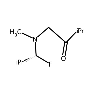 CC(C)C(=O)CN(C)[C@H](F)C(C)C